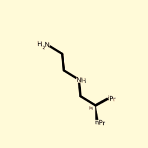 CCC[C@@H](CNCCN)C(C)C